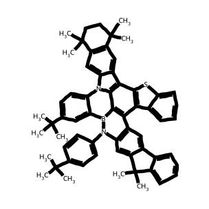 CC(C)(C)c1ccc(N2B3c4cc(C(C)(C)C)ccc4-n4c5cc6c(cc5c5c7sc8ccccc8c7c(c3c54)-c3cc4c(cc32)C(C)(C)c2ccccc2-4)C(C)(C)CCC6(C)C)cc1